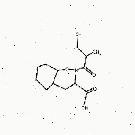 CC(CS)C(=O)N1CC2CCCCC2CC1C(=O)O